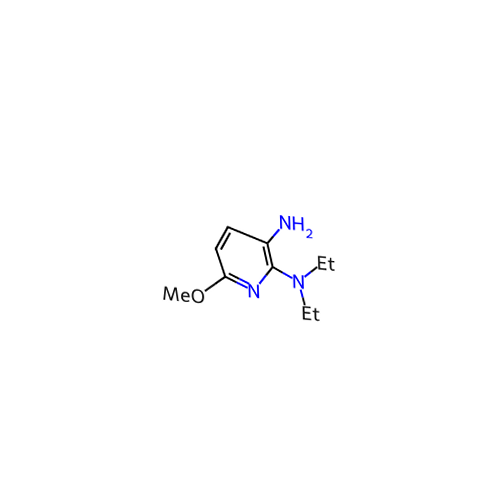 CCN(CC)c1nc(OC)ccc1N